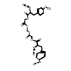 N#COc1ccc(CC(N=C=O)C(=O)OCC(=O)OCOC(=O)COC(=O)C(Cc2ccc(N=C=O)cc2)N=C=O)cc1